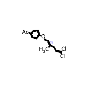 CC(=O)c1ccc(OC/C=C(\C)CC=C(Cl)Cl)cc1